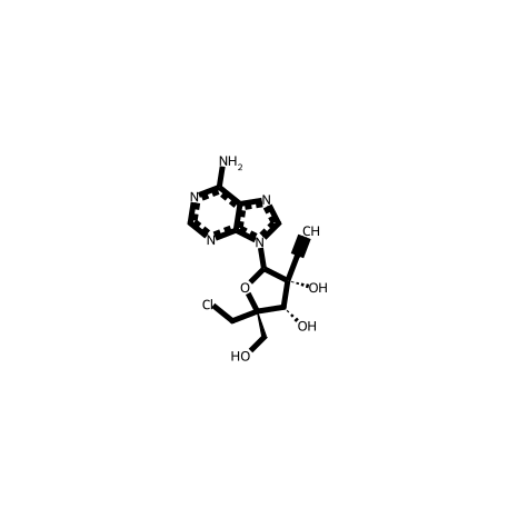 C#C[C@]1(O)C(n2cnc3c(N)ncnc32)O[C@@](CO)(CCl)[C@H]1O